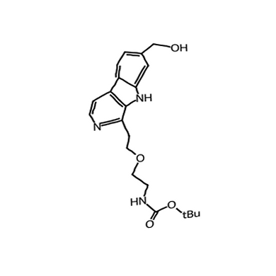 CC(C)(C)OC(=O)NCCOCCc1nccc2c1[nH]c1cc(CO)ccc12